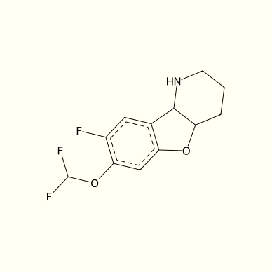 Fc1cc2c(cc1OC(F)F)OC1CCCNC21